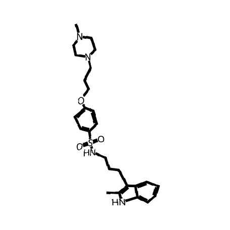 Cc1[nH]c2ccccc2c1CCCNS(=O)(=O)c1ccc(OCCCN2CCN(C)CC2)cc1